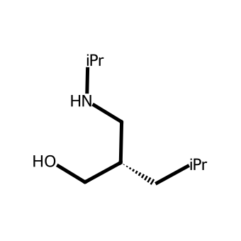 CC(C)C[C@H](CO)CNC(C)C